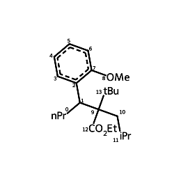 CCCC(c1ccccc1OC)C(CC(C)C)(C(=O)OCC)C(C)(C)C